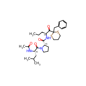 CCC[C@H](NC(=O)[C@@H]1CCCN1C(=O)[C@H](CC(C)C)NC(C)=O)C(=O)C1(Cc2ccccc2)SCCCS1